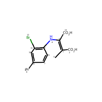 CC(C(=O)O)=C(Nc1ccc(C(C)C)cc1Br)C(=O)O